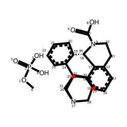 COP(=O)(O)O.O=C(O)N1CCc2ccccc2[C@@H]1c1ccccc1C1CN2CCC1CC2